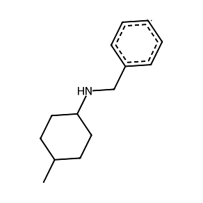 CC1CCC(NCc2cc[c]cc2)CC1